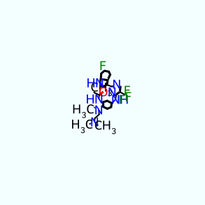 CCC(=O)Nc1cc(Nc2nc(-c3c[nH]c4cc(F)ccc34)ncc2C(F)(F)F)ccc1N(CC)CCN(C)C